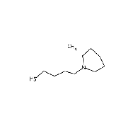 C.SCCCCN1CCCCC1